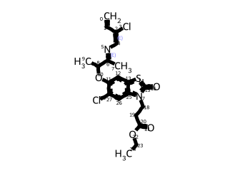 C=C/C(Cl)=C\N=C(/C)C(C)Oc1cc2sc(=O)n(CCC(=O)OCC)c2cc1Cl